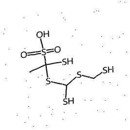 CC(S)(SC(S)SCS)S(=O)(=O)O